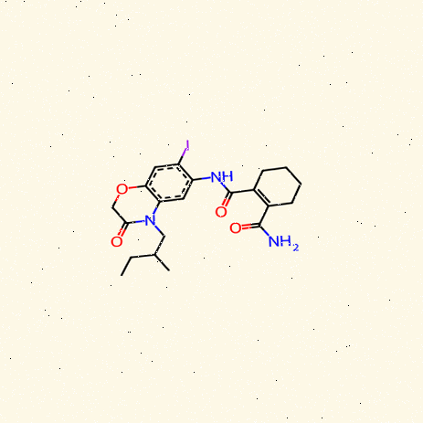 CCC(C)CN1C(=O)COc2cc(I)c(NC(=O)C3=C(C(N)=O)CCCC3)cc21